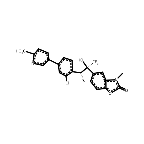 C[C@H](c1ccc(-c2ccc(C(=O)O)nc2)cc1Cl)[C@@](O)(c1ccc2oc(=O)n(C)c2c1)C(F)(F)F